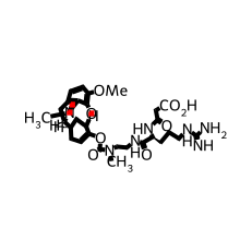 COc1ccc2c3c1O[C@@H]1C[C@@H](CC=C1OC(=O)N(C)CCNC(=O)[C@H](CCCNC(=N)N)NC(=O)CC(=O)O)[C@@H](C2)N(C)CCC3